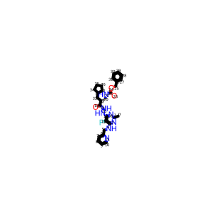 Cc1nc(NCc2ccccn2)c(F)c(NNC(=O)[C@@H](CNC(=O)OCc2ccccc2)CC2CCCC2)n1